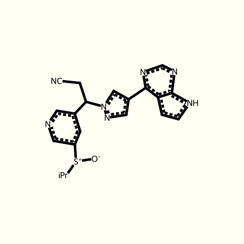 CC(C)[S+]([O-])c1cncc(C(CC#N)n2cc(-c3ncnc4[nH]ccc34)cn2)c1